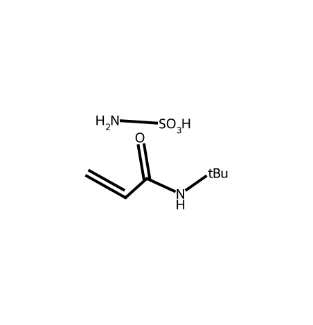 C=CC(=O)NC(C)(C)C.NS(=O)(=O)O